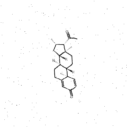 CC(=O)[C@H]1[C@@H](C)C[C@H]2[C@@H]3CCC4=CC(=O)C=C[C@]4(C)[C@H]3CC[C@@]21C